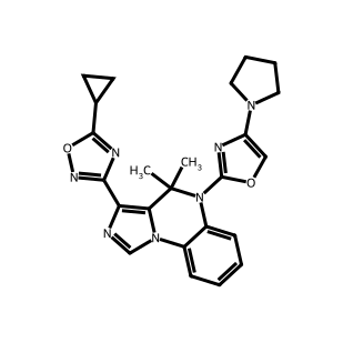 CC1(C)c2c(-c3noc(C4CC4)n3)ncn2-c2ccccc2N1c1nc(N2CCCC2)co1